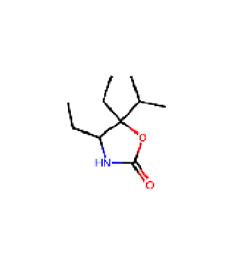 CCC1NC(=O)OC1(CC)C(C)C